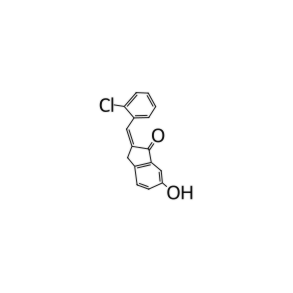 O=C1C(=Cc2ccccc2Cl)Cc2ccc(O)cc21